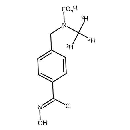 [2H]C([2H])([2H])N(Cc1ccc(C(Cl)=NO)cc1)C(=O)O